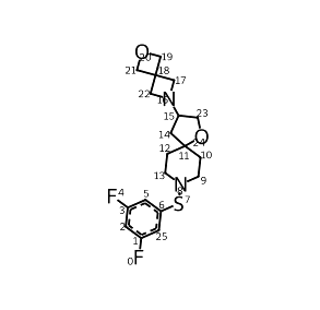 Fc1cc(F)cc(SN2CCC3(CC2)CC(N2CC4(COC4)C2)CO3)c1